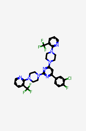 Fc1ccc(-c2cc(N3CCN(c4ncccc4C(F)(F)F)CC3)nc(N3CCN(c4ncccc4C(F)(F)F)CC3)n2)cc1Cl